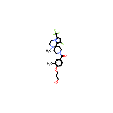 Cc1cc(C(=O)N2CCC3(CC2)c2c(F)cc(C(F)(F)F)n2CCN3C)ccc1OCCCO